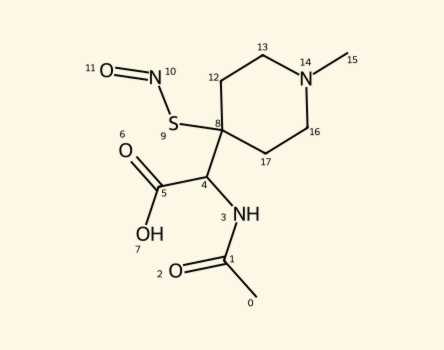 CC(=O)NC(C(=O)O)C1(SN=O)CCN(C)CC1